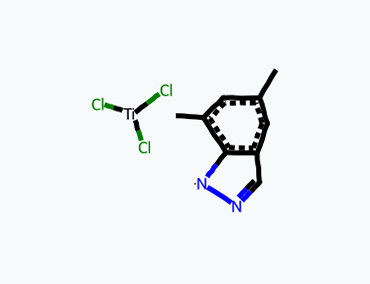 Cc1cc(C)c2c(c1)C=N[N]2.[Cl][Ti]([Cl])[Cl]